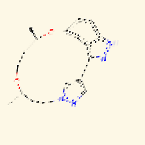 C[C@@H]1CCO[C@@H](C)CCn2cc(cn2)-c2n[nH]c3ccc(cc23)O1